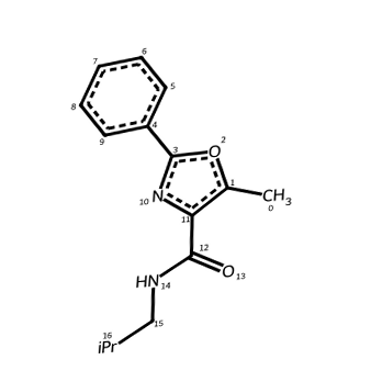 Cc1oc(-c2ccccc2)nc1C(=O)NCC(C)C